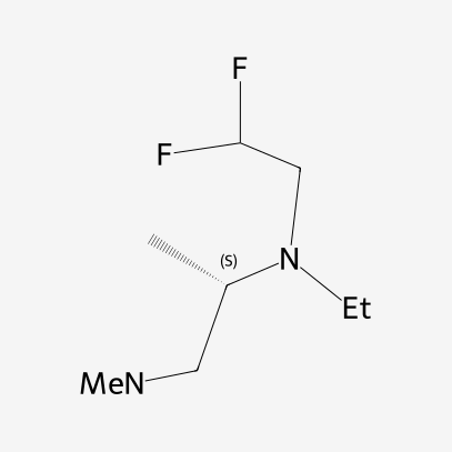 CCN(CC(F)F)[C@@H](C)CNC